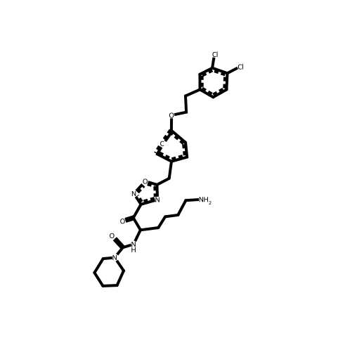 NCCCCC(NC(=O)N1CCCCC1)C(=O)c1noc(Cc2ccc(OCCc3ccc(Cl)c(Cl)c3)cc2)n1